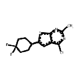 Cc1nc(Cl)c2cc(C3CCC(F)(F)CC3)sc2n1